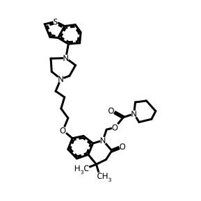 CC1(C)CC(=O)N(COC(=O)N2CCCCC2)c2cc(OCCCCN3CCN(c4cccc5sccc45)CC3)ccc21